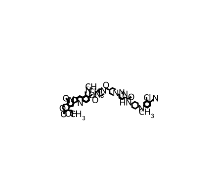 CC[C@@]1(O)C(=O)OCc2c1cc1n(c2=O)Cc2cc3c(CN(C)C)c(OC(=O)N4CCN(C(=O)C5CCN(c6ccc(C(=O)NC7CCC(N(C)c8ccc(C#N)c(Cl)c8)CC7)nn6)CC5)CC4)ccc3nc2-1